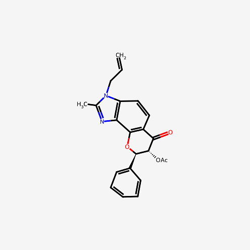 C=CCn1c(C)nc2c3c(ccc21)C(=O)[C@H](OC(C)=O)[C@@H](c1ccccc1)O3